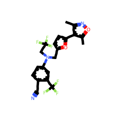 Cc1noc(C)c1-c1ccc(CN(CC(F)(F)F)c2ccc(C#N)c(C(F)(F)F)c2)o1